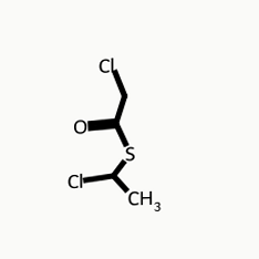 CC(Cl)SC(=O)CCl